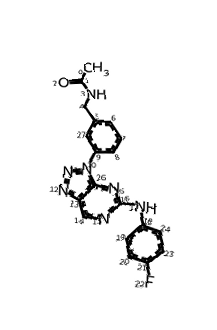 CC(=O)NCc1cccc(-n2nnc3cnc(Nc4ccc(F)cc4)nc32)c1